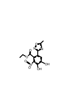 CCOC(=O)c1c(-c2noc(C)n2)cc(O)c(O)c1[N+](=O)[O-]